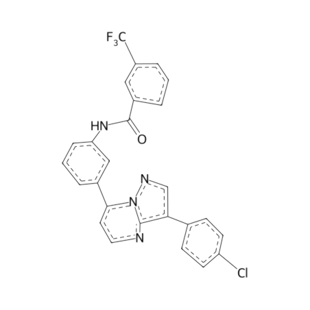 O=C(Nc1cccc(-c2ccnc3c(-c4ccc(Cl)cc4)cnn23)c1)c1cccc(C(F)(F)F)c1